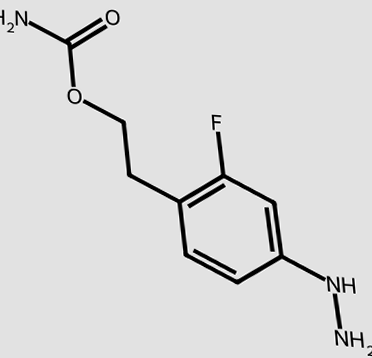 NNc1ccc(CCOC(N)=O)c(F)c1